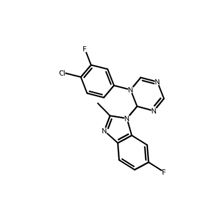 Cc1nc2ccc(F)cc2n1C1N=CN=CN1c1ccc(Cl)c(F)c1